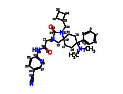 CN(C)C1(c2ccccc2)CCC2(CC1)CN(CC(=O)Nc1ccc(C#N)cn1)C(=O)N2CC1CCC1